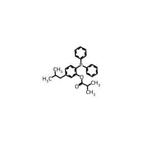 CC(C)Cc1ccc(P(c2ccccc2)c2ccccc2)c(OC(=O)C(C)C)c1